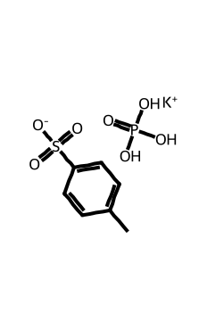 Cc1ccc(S(=O)(=O)[O-])cc1.O=P(O)(O)O.[K+]